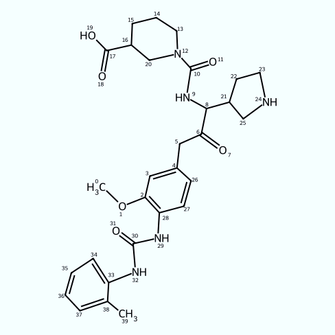 COc1cc(CC(=O)C(NC(=O)N2CCCC(C(=O)O)C2)C2CCNC2)ccc1NC(=O)Nc1ccccc1C